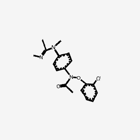 CN=C(C)N(C)c1ccc(N(Oc2ccccc2Cl)C(C)=O)cc1